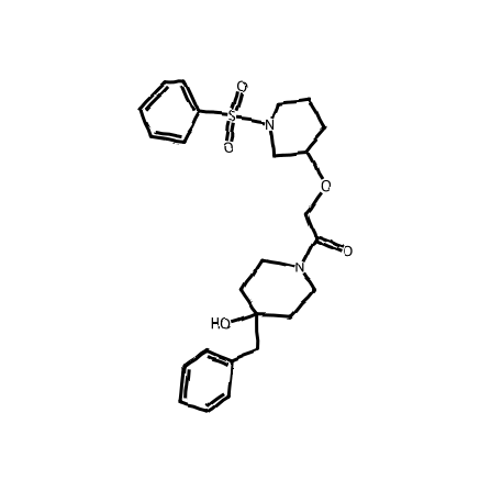 O=C(COC1CCCN(S(=O)(=O)c2ccccc2)C1)N1CCC(O)(Cc2ccccc2)CC1